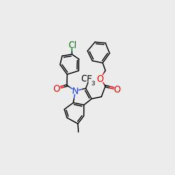 Cc1ccc2c(c1)c(CC(=O)OCc1ccccc1)c(C(F)(F)F)n2C(=O)c1ccc(Cl)cc1